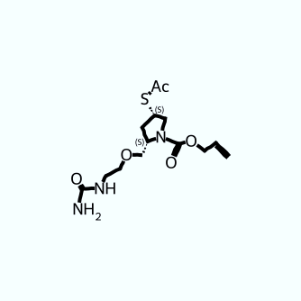 C=CCOC(=O)N1C[C@@H](SC(C)=O)C[C@H]1COCCNC(N)=O